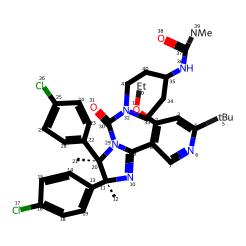 CCOc1cc(C(C)(C)C)ncc1C1=N[C@@](C)(c2ccc(Cl)cc2)[C@@](C)(c2ccc(Cl)cc2)N1C(=O)N1CCC(NC(=O)NC)CC1